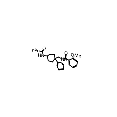 CCCC(=O)NC1CCC(CNC(=O)c2ccccc2OC)(c2ccccc2)CC1